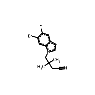 CC(C)(CC#N)Cn1ccc2cc(F)c(Br)cc21